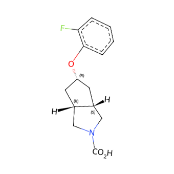 O=C(O)N1C[C@H]2C[C@@H](Oc3ccccc3F)C[C@H]2C1